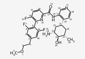 COCCc1cc(F)c(-c2nc(C(=O)Nc3cnccc3[C@H]3C[C@@H](N)[C@H](O)[C@@H](C)C3)ccc2F)c(F)c1